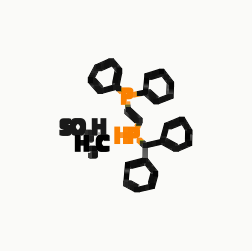 C(=CP(c1ccccc1)c1ccccc1)PC(c1ccccc1)c1ccccc1.CS(=O)(=O)O